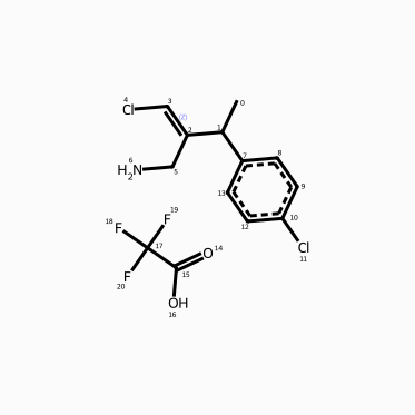 CC(/C(=C/Cl)CN)c1ccc(Cl)cc1.O=C(O)C(F)(F)F